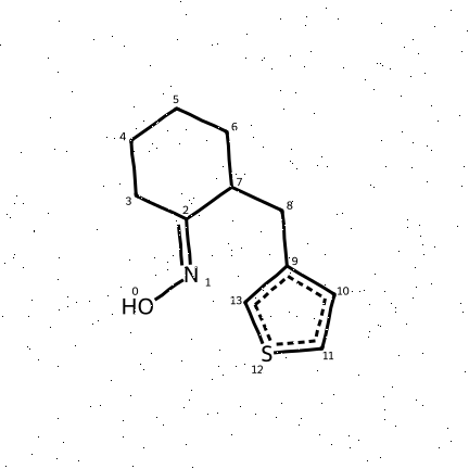 ON=C1CCCCC1Cc1ccsc1